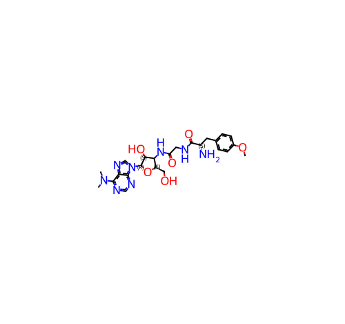 COc1ccc(C[C@H](N)C(=O)NCC(=O)NC2[C@@H](CO)O[C@@H](n3cnc4c(N(C)C)ncnc43)[C@H]2O)cc1